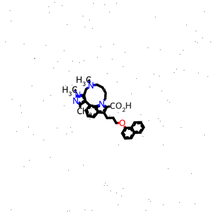 Cc1nn(C)c2c1-c1cccc3c(CCCOc4cccc5ccccc45)c(C(=O)O)n(c13)CCCCN(C)C2